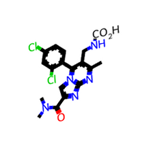 Cc1nc2nc(C(=O)N(C)C)cn2c(-c2ccc(Cl)cc2Cl)c1CNC(=O)O